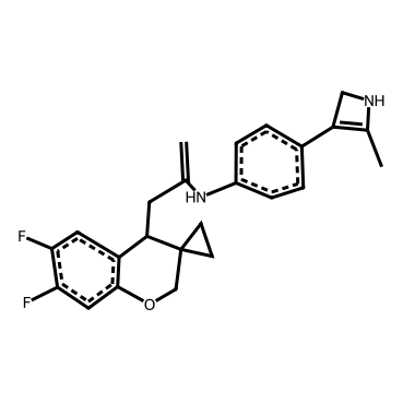 C=C(CC1c2cc(F)c(F)cc2OCC12CC2)Nc1ccc(C2=C(C)NC2)cc1